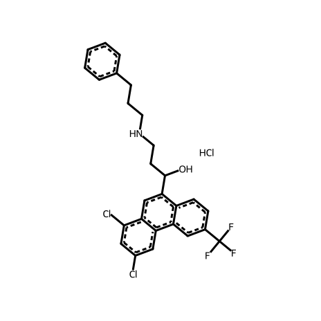 Cl.OC(CCNCCCc1ccccc1)c1cc2c(Cl)cc(Cl)cc2c2cc(C(F)(F)F)ccc12